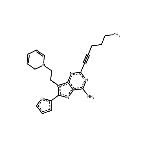 CCCCC#Cc1nc(N)c2nc(-c3ccco3)n(CCN3C=CC=CC3)c2n1